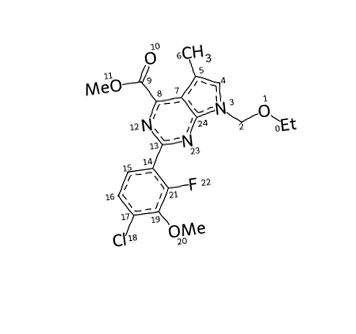 CCOCn1cc(C)c2c(C(=O)OC)nc(-c3ccc(Cl)c(OC)c3F)nc21